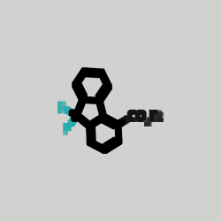 CCOC(=O)c1cccc2c1-c1ccccc1C2(F)F